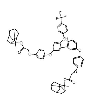 CC1(OC(=O)COc2ccc(Oc3ccc4c(c3)-c3cc(Oc5ccc(OCC(=O)OC6(C)C7CC8CC(C7)CC6C8)cc5)ccc3[SH]4c3ccc(C(F)(F)F)cc3)cc2)C2CC3CC(C2)CC1C3